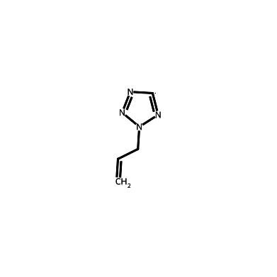 C=CCn1n[c]nn1